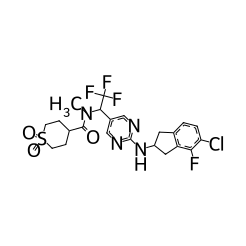 CN(C(=O)C1CCS(=O)(=O)CC1)C(c1cnc(NC2Cc3ccc(Cl)c(F)c3C2)nc1)C(F)(F)F